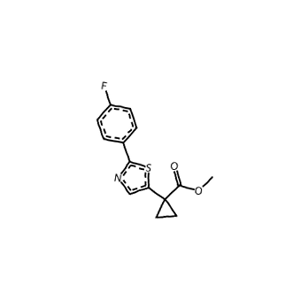 COC(=O)C1(c2cnc(-c3ccc(F)cc3)s2)CC1